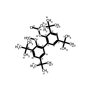 COc1c(-c2cc(C(C)(C)C)cc(C(C)(C)C)c2OP(Cl)Cl)cc(C(C)(C)C)cc1C(C)(C)C